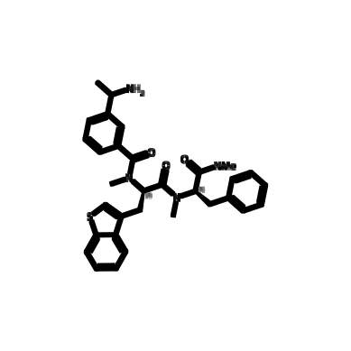 CNC(=O)[C@@H](Cc1ccccc1)N(C)C(=O)[C@@H](Cc1csc2ccccc12)N(C)C(=O)c1cccc(C(C)N)c1